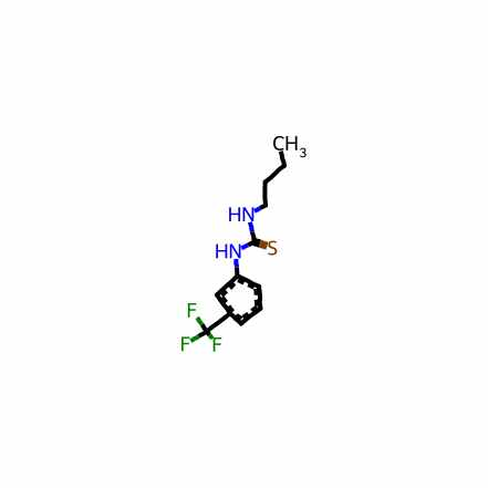 CCCCNC(=S)Nc1cccc(C(F)(F)F)c1